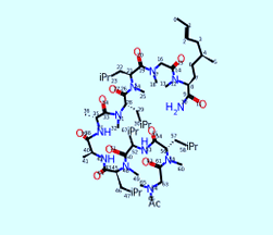 C/C=C/C[C@@H](C)CC[C@@H](C(N)=O)N(C)C(=O)CN(C)C(=O)[C@H](CC(C)C)N(C)C(=O)[C@H](CC(C)C)N(C)C(=O)[C@@H](C)NC(=O)[C@H](C)NC(=O)[C@H](CC(C)C)N(C)C(=O)C(NC(=O)[C@H](CC(C)C)N(C)C(=O)CN(C)C(C)=O)C(C)C